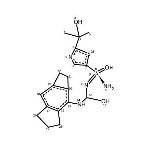 CC(C)(O)c1ncc([S@](N)(=O)=NC(O)Nc2c3c(cc4c2CC4)CCC3)s1